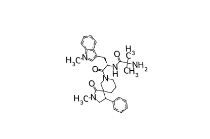 CN1CC(c2ccccc2)C2(CCCN(C(=O)[C@@H](Cc3cn(C)c4ccccc34)NC(=O)C(C)(C)N)C2)C1=O